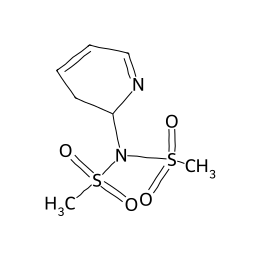 CS(=O)(=O)N(C1CC=CC=N1)S(C)(=O)=O